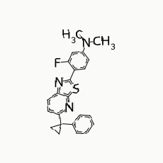 CN(C)c1ccc(-c2nc3ccc(C4(c5ccccc5)CC4)nc3s2)c(F)c1